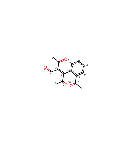 CC(=O)C([C]=O)=C(C(C)=O)c1ccccc1C(C)=O